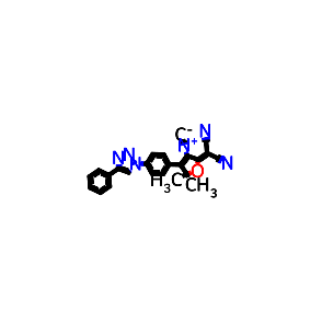 [C-]#[N+]C1=C(c2ccc(-n3cc(-c4ccccc4)nn3)cc2)C(C)(C)OC1=C(C#N)C#N